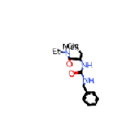 CCN(C#N)C(=O)C(CSC)NC(=O)NCc1ccccc1